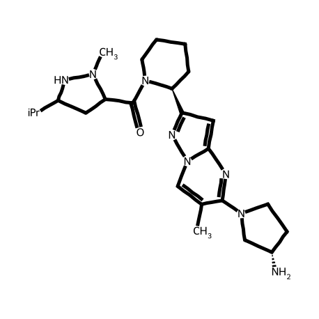 Cc1cn2nc([C@@H]3CCCCN3C(=O)C3CC(C(C)C)NN3C)cc2nc1N1CC[C@H](N)C1